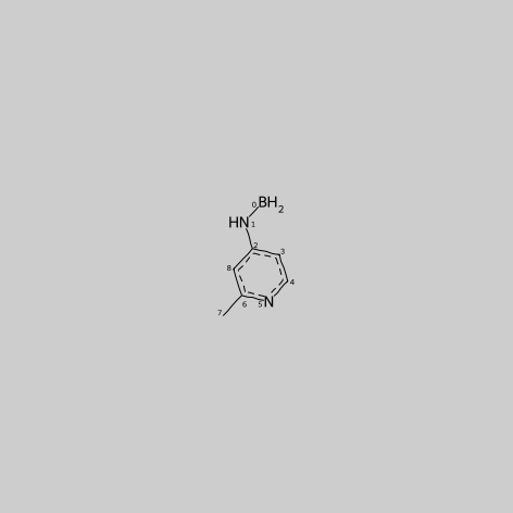 BNc1ccnc(C)c1